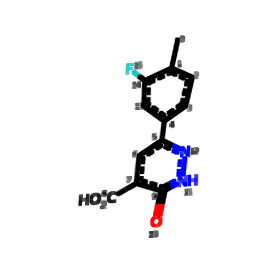 Cc1ccc(-c2cc(C(=O)O)c(=O)[nH]n2)cc1F